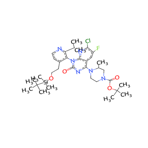 CC(C)c1nccc(CCO[Si](C)(C)C(C)(C)C)c1-n1c(=O)nc(N2CCN(C(=O)OC(C)(C)C)CC2C)c2cc(F)c(Cl)nc21